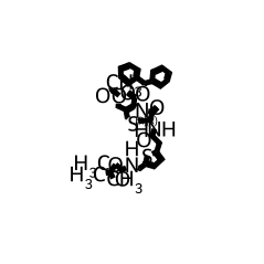 CC(=O)OCC1=C(C(=O)OC(c2ccccc2)c2ccccc2)N2C(=O)[C@@H](NC(=O)Cc3ccc(CNC(=O)OC(C)(C)C)s3)[C@H]2SC1